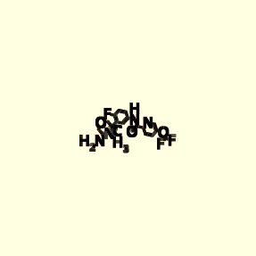 C[C@@]1(c2cc(NC(=O)c3ccc(OC(F)F)cn3)ccc2F)COCC(N)=N1